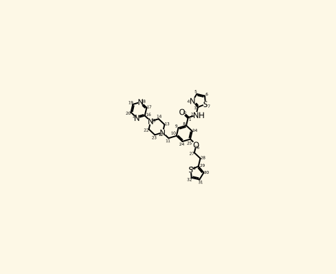 O=C(Nc1nccs1)c1cc(CN2CCN(c3cnccn3)CC2)cc(OCCc2cccs2)c1